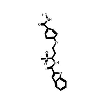 CS(=O)(=O)C(CCOc1ccc(C(=O)NO)cc1)NC(=O)c1cc2ccccc2o1